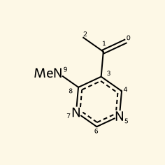 C=C(C)c1cncnc1NC